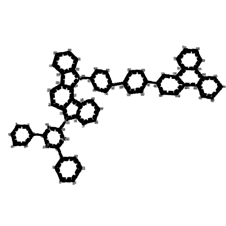 c1ccc(-c2nc(-c3ccccc3)nc(-n3c4ccccc4c4c3ccc3c5ccccc5n(-c5ccc(-c6ccc(-c7ccc8c9ccccc9c9ccccc9c8c7)cc6)cc5)c34)n2)cc1